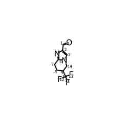 O=Cc1cn2c(n1)CCC(C(F)(F)F)C2